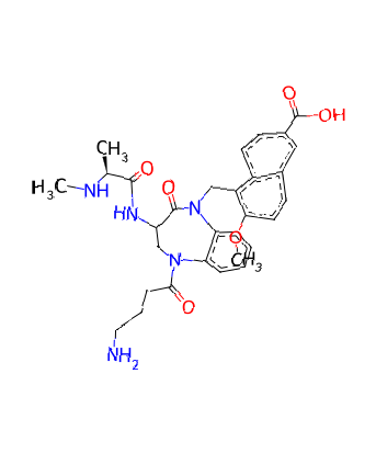 CN[C@@H](C)C(=O)NC1CN(C(=O)CCCN)c2ccccc2N(Cc2c(OC)ccc3cc(C(=O)O)ccc23)C1=O